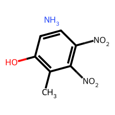 Cc1c(O)ccc([N+](=O)[O-])c1[N+](=O)[O-].N